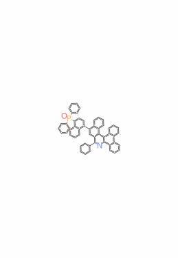 O=P(c1ccccc1)(c1ccccc1)c1ccc(-c2cc3c(-c4ccccc4)nc4c5ccccc5c5ccccc5c4c3c3ccccc23)c2ccccc12